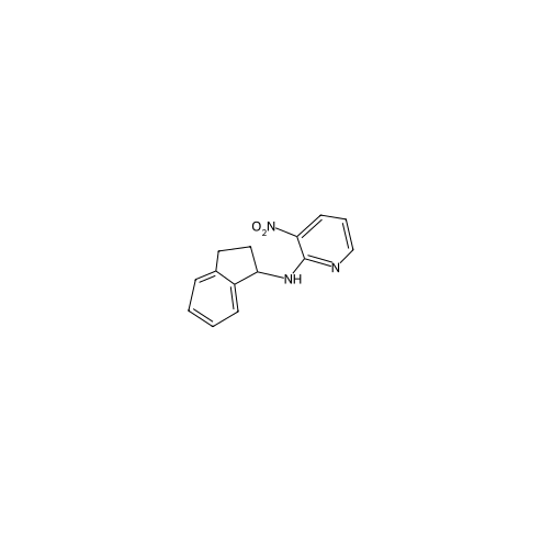 O=[N+]([O-])c1cccnc1NC1CCc2ccccc21